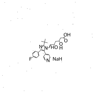 CC(C)(C)c1nc(-c2ccc(F)cc2)c(-c2ccncc2)n1/C=C/[C@H](O)C[C@H](O)CC(=O)O.[NaH]